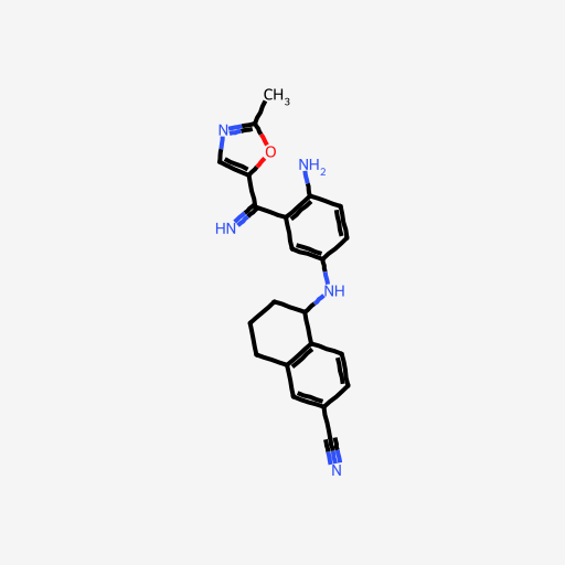 Cc1ncc(C(=N)c2cc(NC3CCCc4cc(C#N)ccc43)ccc2N)o1